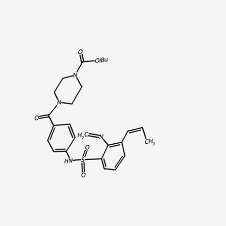 C=Nc1c(/C=C\C)cccc1S(=O)(=O)Nc1ccc(C(=O)N2CCN(C(=O)OCC(C)C)CC2)cc1